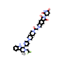 C[C@@H]1Cc2c([nH]c3ccccc23)[C@@H](c2ccc(N3CCC4(CCN(C(=O)CN5Cc6cc7c(cc6C5)C(=O)N(C5CCC(=O)NC5=O)C7=O)CC4)CC3)cn2)N1CC(F)F